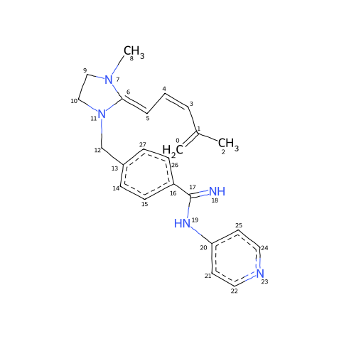 C=C(C)/C=C\C=C1/N(C)CCN1Cc1ccc(C(=N)Nc2ccncc2)cc1